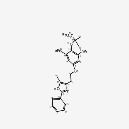 CCCc1cc(OCCc2nc(-c3ccccc3)oc2C)cc(CCC)c1OC(C)(C)C(=O)OCC